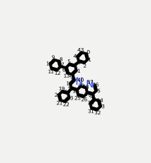 c1ccc(-c2cc(-c3ccccc3)cc(-c3cc(-c4ccccc4)c4ccc5c(-c6ccccc6)ccnc5c4n3)c2)cc1